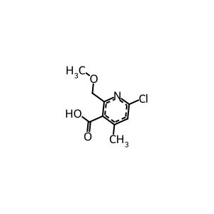 COCc1nc(Cl)cc(C)c1C(=O)O